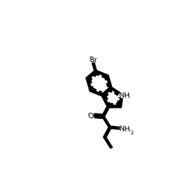 CCC(N)C(=O)c1c[nH]c2cc(Br)ccc12